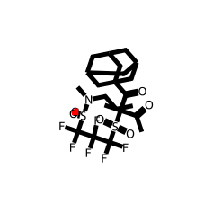 CCCN(C)S(=O)(=O)C(F)(F)C(F)(F)C(F)(F)S(=O)(=O)C(C)(C(C)=O)C(=O)C12CC3CC(CC(C3)C1)C2